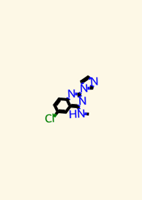 CNc1nc(-n2ccnc2)nc2ccc(Cl)cc12